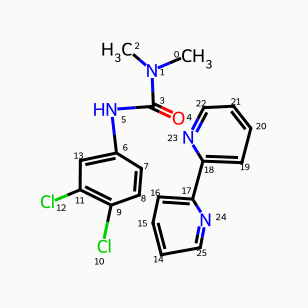 CN(C)C(=O)Nc1ccc(Cl)c(Cl)c1.c1ccc(-c2ccccn2)nc1